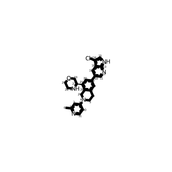 Cc1cc(N2CCc3cc(-c4cnc5[nH]cc(Cl)c5c4)cc([C@@H]4COCCN4)c3C2)ccn1